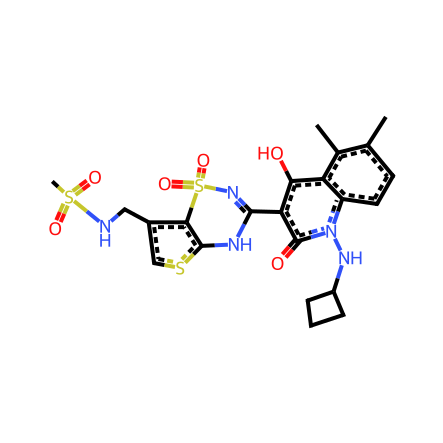 Cc1ccc2c(c1C)c(O)c(C1=NS(=O)(=O)c3c(CNS(C)(=O)=O)csc3N1)c(=O)n2NC1CCC1